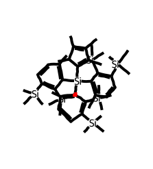 CC1=C(C)C(C)C([Si](c2c(C)ccc([Si](C)(C)C)c2[Si](C)(C)C)(c2c(C)ccc([Si](C)(C)C)c2[Si](C)(C)C)c2c(C)ccc([Si](C)(C)C)c2[Si](C)(C)C)=C1C